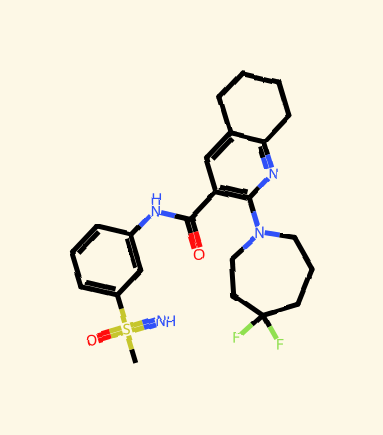 CS(=N)(=O)c1cccc(NC(=O)c2cc3c(nc2N2CCCC(F)(F)CC2)CCCC3)c1